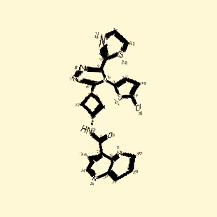 O=C(N[C@H]1C[C@H](c2nnc(-c3nccs3)n2-c2ccc(Cl)s2)C1)c1ccnc2cccnc12